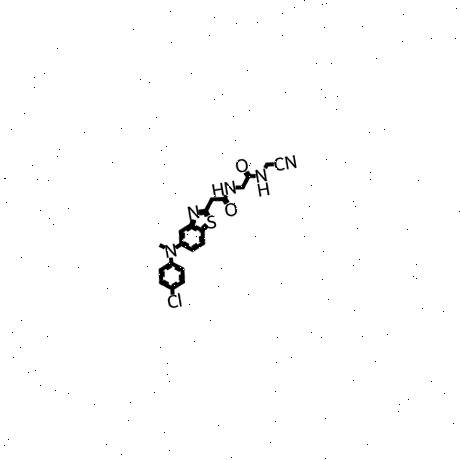 CN(c1ccc(Cl)cc1)c1ccc2sc(CC(=O)NCC(=O)NCC#N)nc2c1